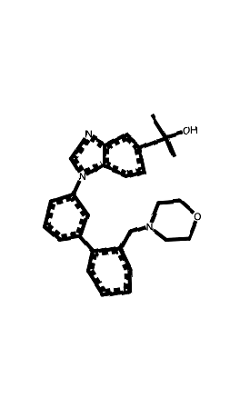 CC(C)(O)c1ccc2c(c1)ncn2-c1cccc(-c2ccccc2CN2CCOCC2)c1